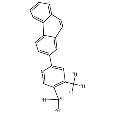 [2H]C([2H])([2H])c1cnc(-c2ccc3c(ccc4ccccc43)c2)cc1C([2H])([2H])[2H]